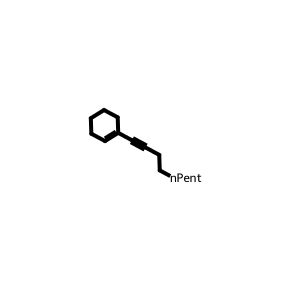 CCCCCCCC#CC1=CCCCC1